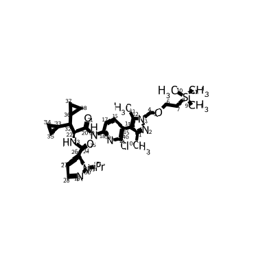 Cc1nn(COCC[Si](C)(C)C)c(C)c1-c1ccc(NC(=O)[C@@H](NC(=O)c2ccnn2C(C)C)C(C2CC2)C2CC2)nc1Cl